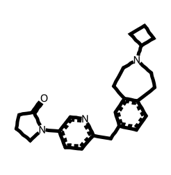 O=C1CCCN1c1ccc(Cc2ccc3c(c2)CCN(C2CCC2)CC3)nc1